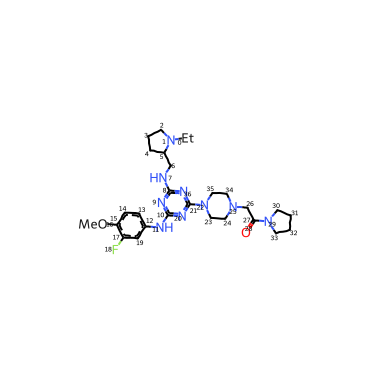 CCN1CCCC1CNc1nc(Nc2ccc(OC)c(F)c2)nc(N2CCN(CC(=O)N3CCCC3)CC2)n1